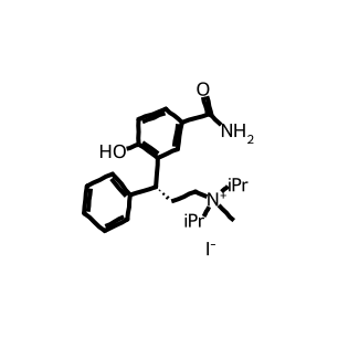 CC(C)[N+](C)(CC[C@H](c1ccccc1)c1cc(C(N)=O)ccc1O)C(C)C.[I-]